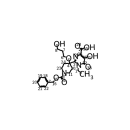 CCn1c(C2(OCCCO)CCN(C(=O)OCc3ccccc3)CC2)nc(C(=O)O)c(O)c1=O